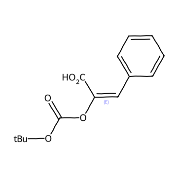 CC(C)(C)OC(=O)O/C(=C/c1ccccc1)C(=O)O